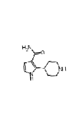 NC(=O)c1cc[nH]c1C1CCNCC1